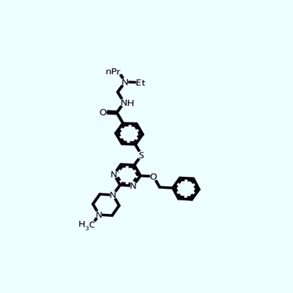 CCCN(CC)CNC(=O)c1ccc(Sc2cnc(N3CCN(C)CC3)nc2OCc2ccccc2)cc1